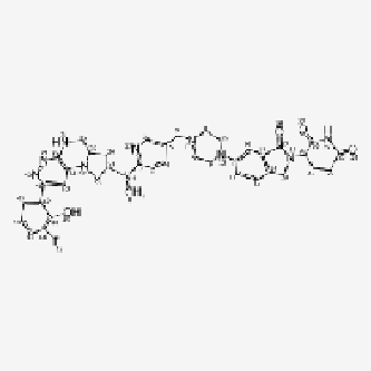 CN(c1ccc(CN2CCN(c3ccc4c(c3)C(=O)N(C3CCC(=O)NC3=O)C4)CC2)cn1)C1CC2CNc3nnc(-c4cccc(F)c4O)cc3N2C1